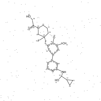 Cc1cc(-c2ccnc(NC(O)C3CC3)c2)ccc1O[C@H]1CCN(C(=O)CO)CC1(F)F